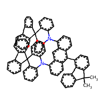 CC1(C)c2ccccc2-c2c(-c3c4cccc(N5c6ccccc6C6(c7ccccc7-c7ccccc76)c6ccccc65)c4cc4c(N5c6ccccc6C6(c7ccccc7-c7ccccc76)c6ccccc65)cccc34)cccc21